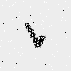 CP(C)(=O)c1ccc(-c2ccc(-c3ccc4c5ccccc5c5nc6ccccc6n5c4c3)cc2)cc1